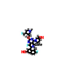 CCc1c(F)ccc2cc(O)cc(-c3nc(OC)c4c(N5CCCC(C)(O)C5)nc(OC[C@]5(C)CN(C)CC[C@@H]5CF)nc4c3F)c12